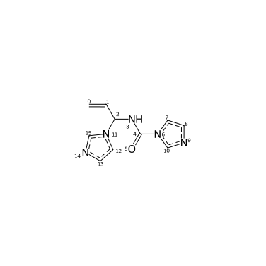 C=CC(NC(=O)n1ccnc1)n1ccnc1